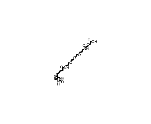 O=C(O)COCC(=O)NCCCOCCOCCOCCCNC(=O)CCCCC1SCC2NC(=O)NC21